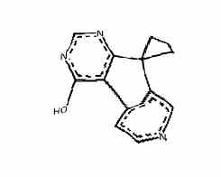 Oc1ncnc2c1-c1ccncc1C21CC1